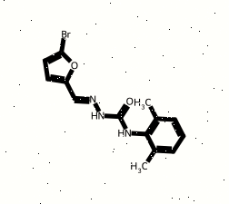 Cc1cccc(C)c1NC(=O)N/N=C/c1ccc(Br)o1